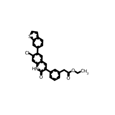 CCOC(=O)Cc1cccc(-c2cc3cc(-c4ccc5ccsc5c4)c(Cl)cc3[nH]c2=O)c1